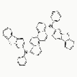 c1ccc(N(c2ccc3c(c2)sc2ccccc23)c2cccc3c2ccc2c4cccc(N(c5ccccc5)c5ccc6c(c5)sc5ccccc56)c4ccc32)cc1